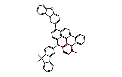 CC1C=CC(N(c2ccc(-c3ccc4oc5ccccc5c4c3)cc2)c2ccc3c(c2)-c2ccccc2C3(C)C)=C(c2ccccc2-c2ccccc2-c2ccccc2)C1